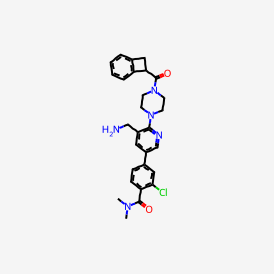 CN(C)C(=O)c1ccc(-c2cnc(N3CCN(C(=O)C4Cc5ccccc54)CC3)c(CN)c2)cc1Cl